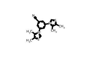 Cc1sc[n+](-c2cc(C#N)cc(-[n+]3csc(C)c3C)c2)c1C